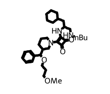 CCCCNCC(CC1CCCCC1)Nc1c(N2CCCC(C(OCCCOC)c3ccccc3)C2)c(=O)c1=O